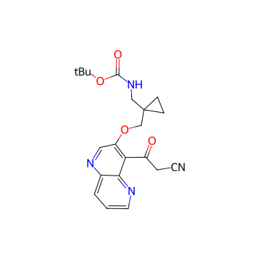 CC(C)(C)OC(=O)NCC1(COc2cnc3cccnc3c2C(=O)CC#N)CC1